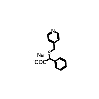 O=C([O-])C(SCc1ccncc1)c1ccccc1.[Na+]